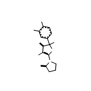 CC(=O)OC1=C(N2CCCC2=O)OC(C)(c2ccc(Cl)c(F)c2)C1=O